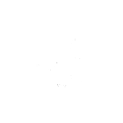 COC(=O)c1sc(C)cc1OC(C)C